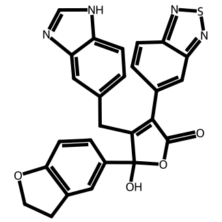 O=C1OC(O)(c2ccc3c(c2)CCO3)C(Cc2ccc3[nH]cnc3c2)=C1c1ccc2nsnc2c1